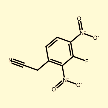 N#CCc1ccc([N+](=O)[O-])c(F)c1[N+](=O)[O-]